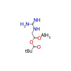 CC(C)(C)C(=O)OC(=O)CNC(=N)N.[AlH3]